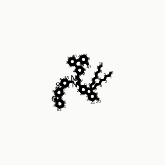 CCCCCCCCC1(CCCCCCCC)c2cc(C)ccc2-c2ccc(-c3cc(-c4cccc(-c5ccccc5-c5cccc(C)c5)c4)nc(-c4ccc5sc6cc7oc8ccccc8c7cc6c5c4)n3)cc21